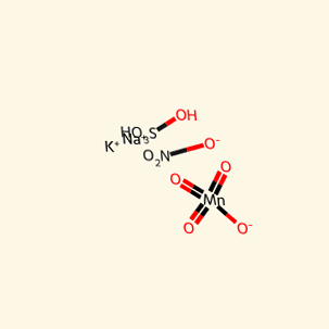 O=S(=O)(O)O.O=[N+]([O-])[O-].[K+].[Na+].[O]=[Mn](=[O])(=[O])[O-]